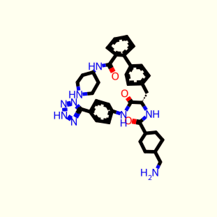 NCC1CCC(C(=O)N[C@@H](Cc2ccc(-c3ccccc3C(=O)NC3CCNCC3)cc2)C(=O)Nc2ccc(-c3nn[nH]n3)cc2)CC1